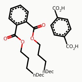 CCCCCCCCCCCCCOC(=O)c1ccccc1C(=O)OCCCCCCCCCCCCC.O=C(O)c1ccc(C(=O)O)cc1